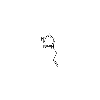 C=CCn1c[c]nn1